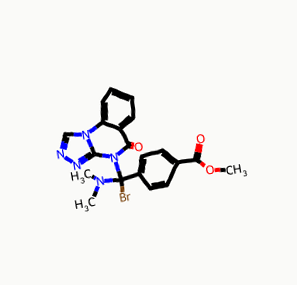 COC(=O)c1ccc(C(Br)(N(C)C)n2c(=O)c3ccccc3n3cnnc23)cc1